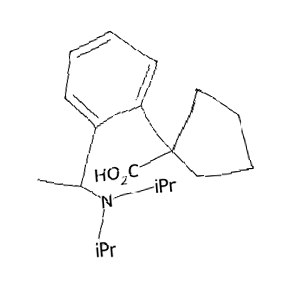 CC(C)N(C(C)C)C(C)c1ccccc1C1(C(=O)O)CCCC1